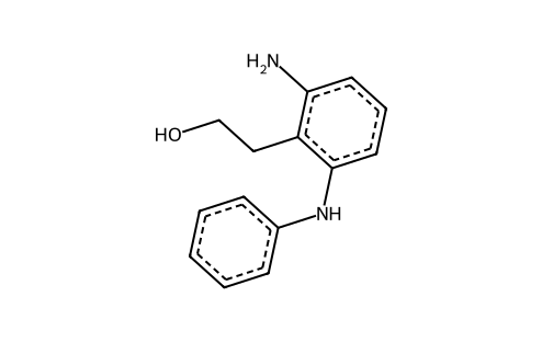 Nc1cccc(Nc2ccccc2)c1CCO